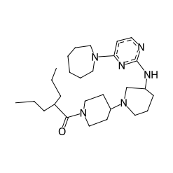 CCCC(CCC)C(=O)N1CCC(N2CCCC(Nc3nccc(N4CCCCCC4)n3)C2)CC1